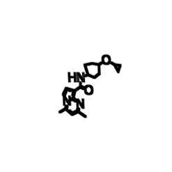 Cc1cc(C)n2ccc(C(=O)NC3CCC(OC4CC4)CC3)c2n1